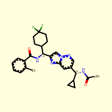 CCCC(=O)N[C@@H](c1cnn2cc([C@@H](NC(=O)c3ccccc3CC)C3CCC(F)(F)CC3)nc2c1)C1CC1